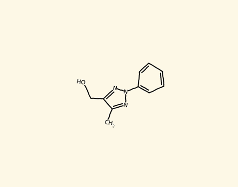 Cc1nn(-c2ccccc2)nc1CO